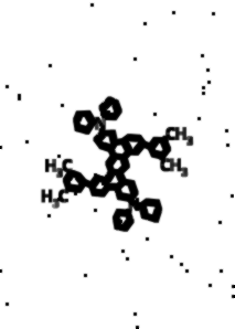 Cc1cc(C)cc(-c2ccc3c(c2)c2cc4c5ccc(N(c6ccccc6)c6ccccc6)cc5c5ccc(-c6cc(C)cc(C)c6)cc5c4cc2c2ccc(N(c4ccccc4)c4ccccc4)cc32)c1